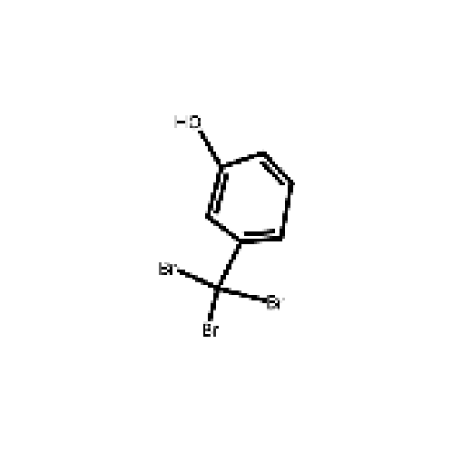 Oc1cccc(C(Br)(Br)Br)c1